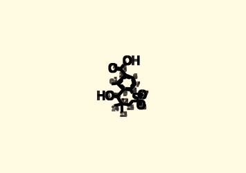 Cc1c(C(=O)O)ccc2c1C(O)C(C)(C)CS2(=O)=O